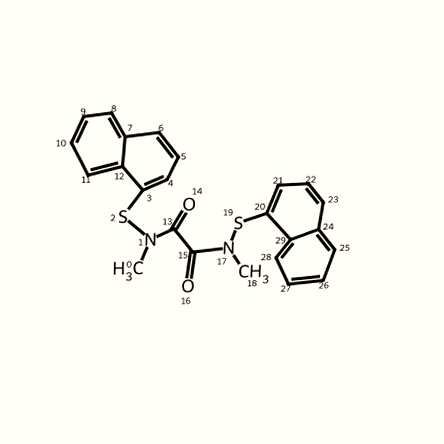 CN(Sc1cccc2ccccc12)C(=O)C(=O)N(C)Sc1cccc2ccccc12